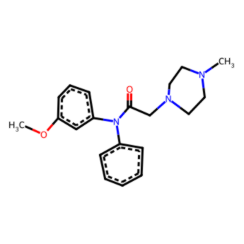 COc1cccc(N(C(=O)CN2CCN(C)CC2)c2ccccc2)c1